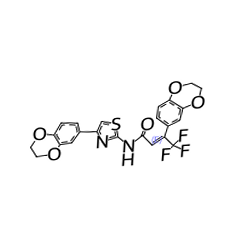 O=C(/C=C(\c1ccc2c(c1)OCCO2)C(F)(F)F)Nc1nc(-c2ccc3c(c2)OCCO3)cs1